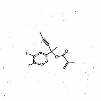 C=C(C)C(=O)OC(C)(C#CC)c1ccc(F)c(F)c1